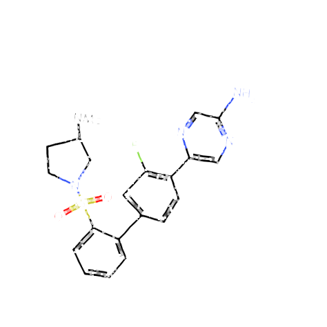 CNC1CCN(S(=O)(=O)c2ccccc2-c2ccc(-c3cnc(N)cn3)c(F)c2)C1